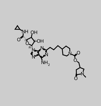 CN1CC(COC(=O)N2CCC(CCCc3nc(N)c4ncn([C@@H]5O[C@H](C(=O)NC6CC6)C(O)[C@@H]5O)c4n3)CC2)CC1=O